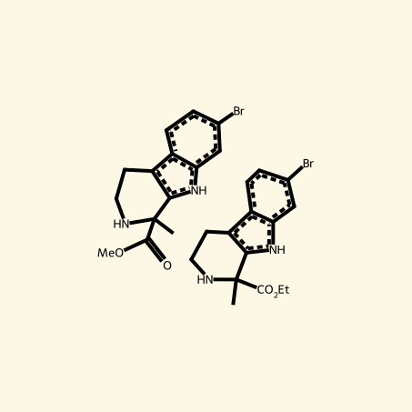 CCOC(=O)C1(C)NCCc2c1[nH]c1cc(Br)ccc21.COC(=O)C1(C)NCCc2c1[nH]c1cc(Br)ccc21